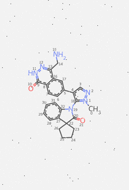 Cn1ncc(-c2ccc3c(=O)[nH]nc(CN)c3c2)c1N1C(=O)C2(CCCC2)c2ccccc21